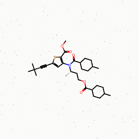 COC(=O)c1sc(C#CC(C)(C)C)cc1N(C(=O)C1CCC(C)CC1)[C@@H](C)CCOC(=O)C1CCC(C)CC1